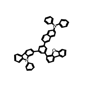 c1ccc(N(c2ccccc2)c2ccc3cc(-c4cc(-c5ccc6c7ccccc7n(-c7ccccc7)c6c5)cc(-c5cccc6c5oc5ccccc56)c4)ccc3c2)cc1